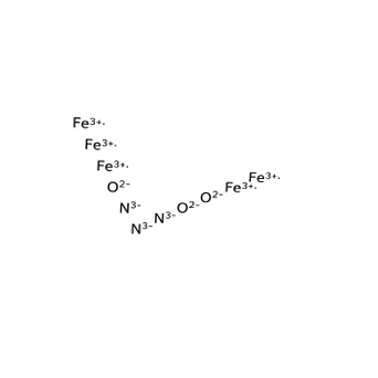 [Fe+3].[Fe+3].[Fe+3].[Fe+3].[Fe+3].[N-3].[N-3].[N-3].[O-2].[O-2].[O-2]